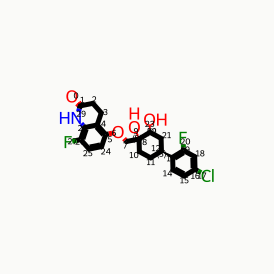 O=C1CCc2c(OC[C@]3(O)CC[C@H](c4ccc(Cl)cc4F)C[C@H]3O)ccc(F)c2N1